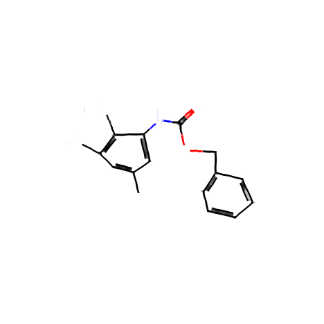 Cc1cc(C)c(C(=O)O)c(NC(=O)OCc2ccccc2)c1